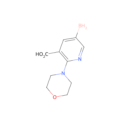 Bc1cnc(N2CCOCC2)c(C(=O)O)c1